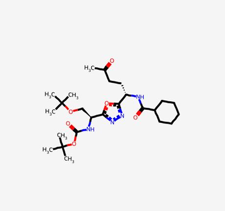 CC(=O)CC[C@H](NC(=O)C1CCCCC1)c1nnc([C@H](COC(C)(C)C)NC(=O)OC(C)(C)C)o1